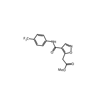 COC(=O)Cc1oncc1C(=O)Nc1ccc(C(F)(F)F)cc1